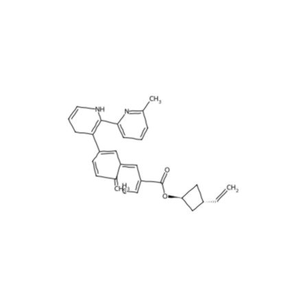 C=C[C@H]1C[C@H](OC(=O)C(/C=c2/cc(C3=C(c4cccc(C)n4)NC=CC3)ccc2=C)=C/C)C1